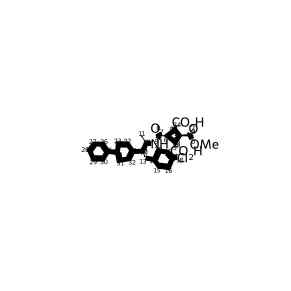 COC(=O)[C@H]1[C@H](C(=O)O)[C@H](C(=O)N[C@@H](C)[C@H](Cc2ccc(Cl)cc2)c2ccc(-c3ccccc3)cc2)[C@H]1C(=O)O